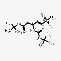 CC(C)(C)OC(=O)CC(C=CS(C)(=O)=O)NC(=O)OC(C)(C)C